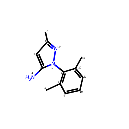 Cc1cc(N)n(-c2c(C)cccc2C)n1